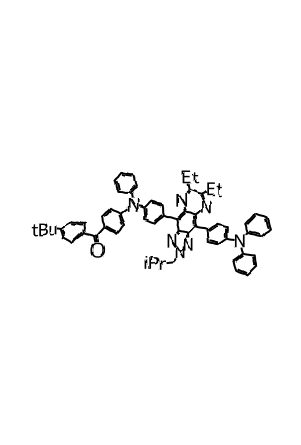 CCc1nc2c(-c3ccc(N(c4ccccc4)c4ccccc4)cc3)c3nn(CC(C)C)nc3c(-c3ccc(N(c4ccccc4)c4ccc(C(=O)c5ccc(C(C)(C)C)cc5)cc4)cc3)c2nc1CC